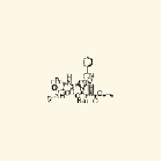 C=CCOC(=O)N[C@H](C(=O)N1C[C@@]2(CC(c3ccccc3)=NO2)C[C@H]1C(=O)N[C@@H](CCC)C(=O)C(=O)NC1CC1)C(C)(C)C